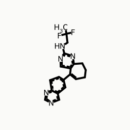 CC(F)(F)CNc1ncc2c(n1)CCCC=C2c1ccc2ncncc2c1